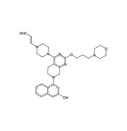 O=CC=CN1CCN(c2nc(OCCCN3CCOCC3)nc3c2CCN(c2cc(O)cc4ccccc24)C3)CC1